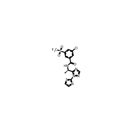 C[C@@H](NC(=O)c1cc(Cl)cc(S(=O)(=O)C(F)(F)F)c1)c1ncnn1-c1nccs1